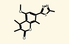 COc1cc(-c2nnc(C)s2)c(C)c2oc(=O)c(C)c(C)c12